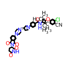 CC1(C)C(NC(=O)c2ccc(N3CC[C@H](CN4CCN(c5ccc6c(c5)C(=O)N(C5CCC(=O)NC5=O)C6=O)CC4)C3)cc2)C(C)(C)C1Oc1ccc(C#N)c(Cl)c1